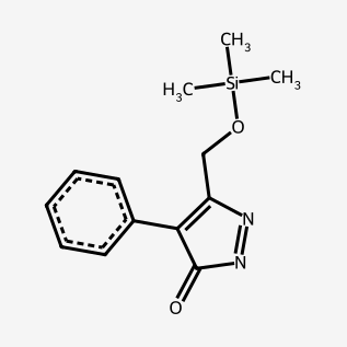 C[Si](C)(C)OCC1=C(c2ccccc2)C(=O)N=N1